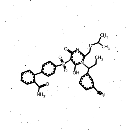 CCC(c1cccc(C#N)c1)n1c(COC(C)C)nc(=O)c(S(=O)(=O)c2ccc(-c3ccccc3C(N)=O)cc2)c1O